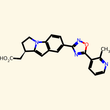 Cc1ncccc1-c1nc(-c2ccc3c(c2)cc2n3CC[C@@H]2CC(=O)O)no1